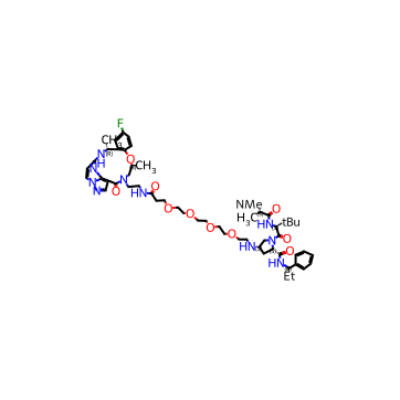 CC[C@@H](NC(=O)[C@@H]1C[C@H](NCCOCCOCCOCCOCCC(=O)NCCN2C[C@H](C)Oc3ccc(F)cc3[C@@H](C)Nc3ccn4ncc(c4n3)C2=O)CN1C(=O)[C@@H](NC(=O)[C@H](C)NC)C(C)(C)C)c1ccccc1